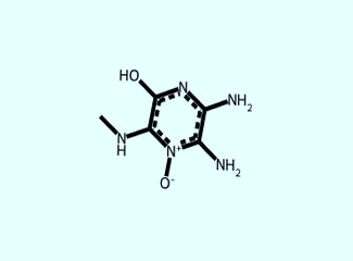 CNc1c(O)nc(N)c(N)[n+]1[O-]